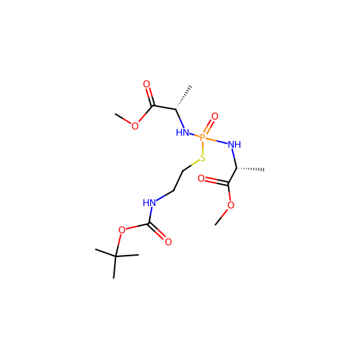 COC(=O)[C@H](C)NP(=O)(N[C@H](C)C(=O)OC)SCCNC(=O)OC(C)(C)C